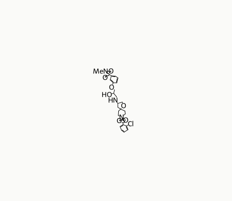 CNS(=O)(=O)c1cccc(OCC(O)CNC2COC3(CCN(S(=O)(=O)c4ccccc4Cl)CC3)C2)c1